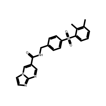 Cc1cccc(S(=O)(=O)c2ccc(CNC(=O)c3cnc4nccn4c3)cc2)c1C